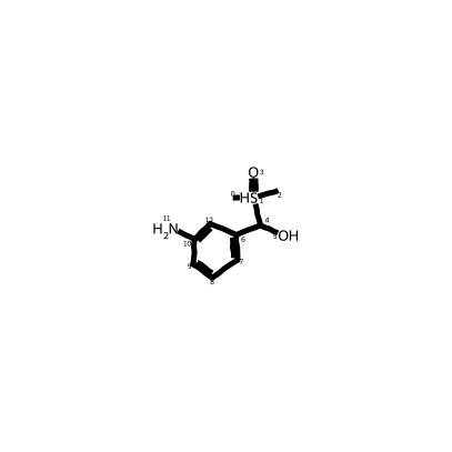 C[SH](C)(=O)C(O)c1cccc(N)c1